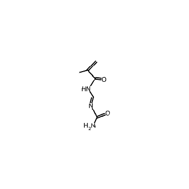 C=C(C)C(=O)NC=NC(N)=O